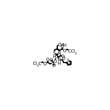 CC(=O)OCC1=C(C(=O)OCC(Cl)(Cl)Cl)N2C(=O)[C@@](COS(=O)(=O)CC(=O)OCC(Cl)(Cl)Cl)(NC(=O)Cc3cccs3)[C@H]2SC1